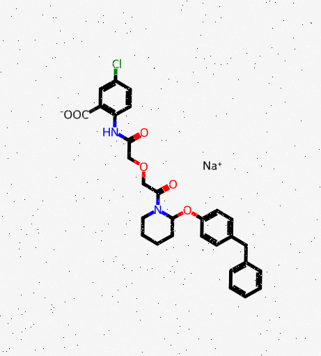 O=C(COCC(=O)N1CCCCC1Oc1ccc(Cc2ccccc2)cc1)Nc1ccc(Cl)cc1C(=O)[O-].[Na+]